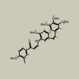 COc1ccc(C(=O)/C=C\Nc2cc(/C=C\c3cc(OC)c(OC)c(OC)c3)ccc2OC)cc1C